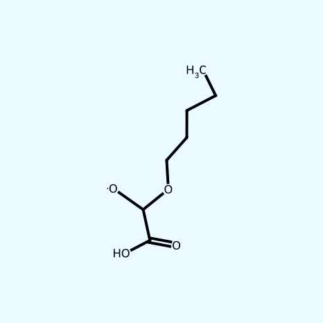 CCCCCOC([O])C(=O)O